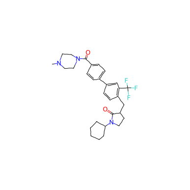 CN1CCN(C(=O)c2ccc(-c3ccc(CC4CCN(C5CCCCC5)C4=O)c(C(F)(F)F)c3)cc2)CC1